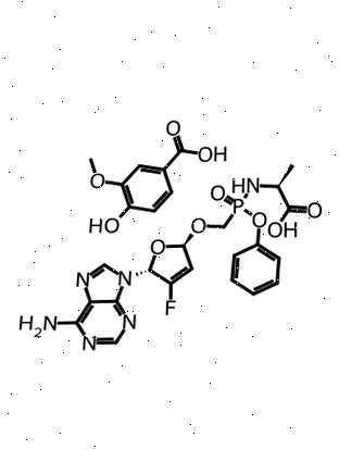 COc1cc(C(=O)O)ccc1O.C[C@H](NP(=O)(CO[C@H]1C=C(F)[C@H](n2cnc3c(N)ncnc32)O1)Oc1ccccc1)C(=O)O